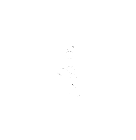 CC#CCn1c(N2CCC[C@@H](N)C2)nc2cnn(Cc3ccc4c(c3)nnn4C)c(=O)c21